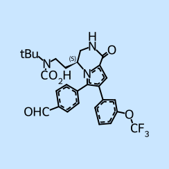 CC(C)(C)N(CC[C@H]1CNC(=O)c2cc(-c3cccc(OC(F)(F)F)c3)c(-c3ccc(C=O)cc3)n21)C(=O)O